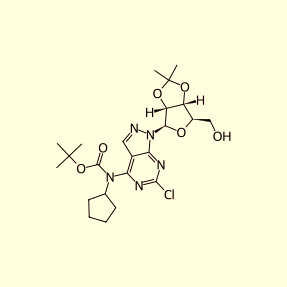 CC(C)(C)OC(=O)N(c1nc(Cl)nc2c1cnn2[C@@H]1O[C@H](CO)[C@H]2OC(C)(C)O[C@H]21)C1CCCC1